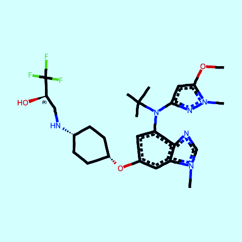 COc1cc(N(c2cc(O[C@H]3CC[C@@H](NC[C@@H](O)C(F)(F)F)CC3)cc3c2ncn3C)C(C)(C)C)nn1C